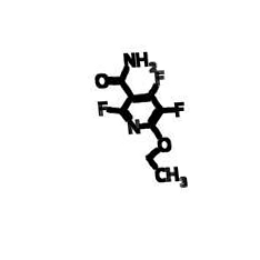 CCOc1nc(F)c(C(N)=O)c(F)c1F